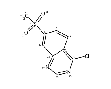 CS(=O)(=O)c1ccc2c(Cl)ncnc2c1